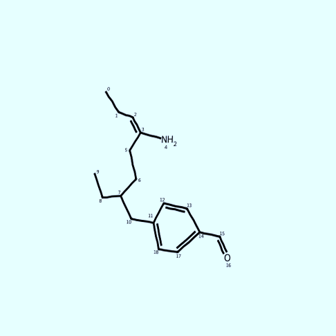 CC/C=C(/N)CCC(CC)Cc1ccc(C=O)cc1